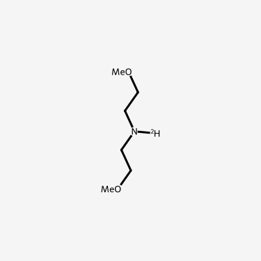 [2H]N(CCOC)CCOC